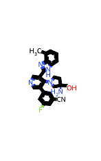 Cc1cccc2[nH]c(-c3cncc(-c4cc(F)cc(C#N)c4)c3N3CC[C@](N)(CO)C3)nc12